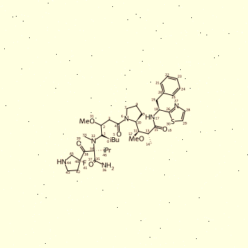 CC[C@H](C)C(C(CC(=O)N1CCC[C@H]1[C@H](OC)[C@@H](C)C(=O)N[C@@H](Cc1ccccc1)c1nccs1)OC)N(C)[C@@](C(N)=O)(C(=O)[C@@]1(F)CCNC1)C(C)C